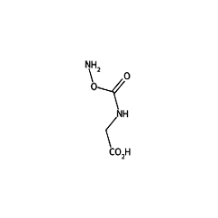 NOC(=O)NCC(=O)O